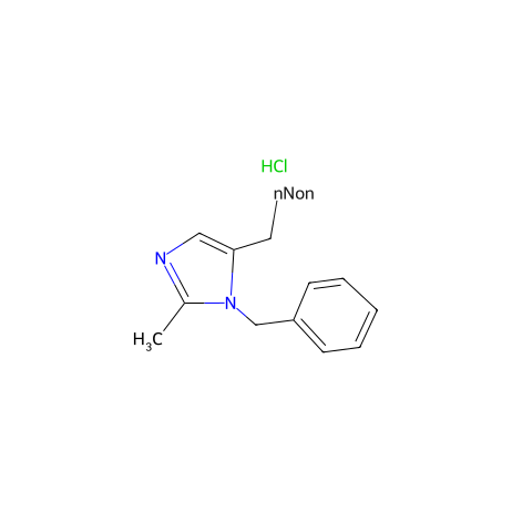 CCCCCCCCCCc1cnc(C)n1Cc1ccccc1.Cl